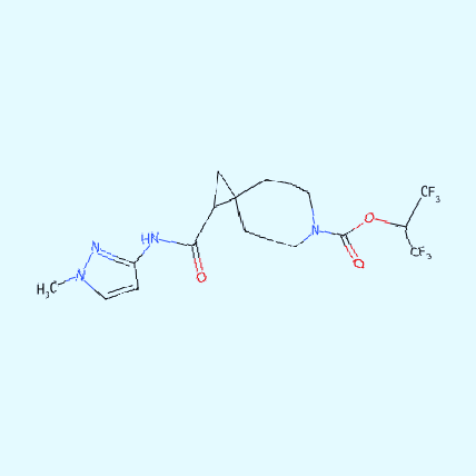 Cn1ccc(NC(=O)C2CC23CCN(C(=O)OC(C(F)(F)F)C(F)(F)F)CC3)n1